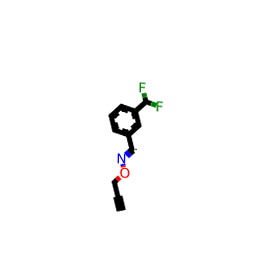 C#CCON=[C]c1cccc(C(F)F)c1